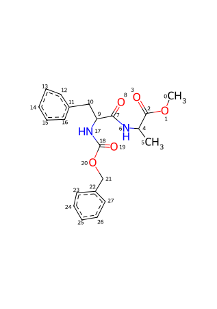 COC(=O)C(C)NC(=O)C(Cc1ccccc1)NC(=O)OCc1ccccc1